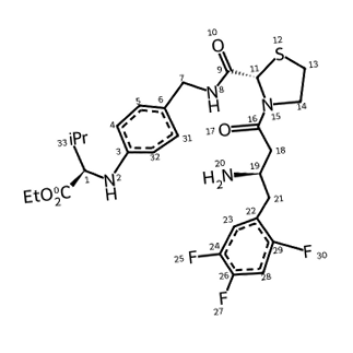 CCOC(=O)[C@H](Nc1ccc(CNC(=O)[C@@H]2SCCN2C(=O)C[C@H](N)Cc2cc(F)c(F)cc2F)cc1)C(C)C